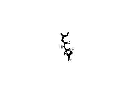 CCC(C)CC(=O)Nc1nc(Br)c[nH]1